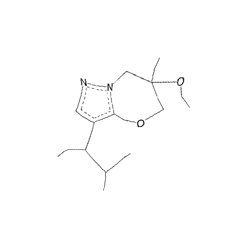 COC1(C)COc2c(C(C)C(C)C)cnn2C1